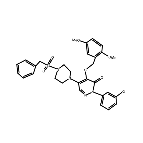 COc1ccc(OC)c(COc2c(N3CCN(S(=O)(=O)Cc4ccccc4)CC3)cnn(-c3cccc(Cl)c3)c2=O)c1